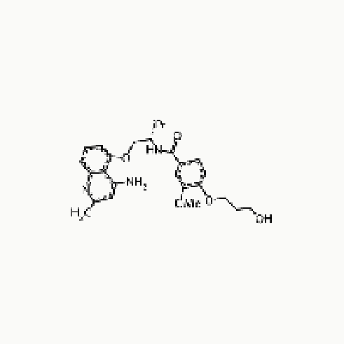 COc1cc(C(=O)N[C@H](COc2cccc3nc(C)cc(N)c23)C(C)C)ccc1OCCCO